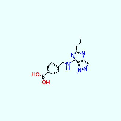 CCCc1nc(NCc2ccc(B(O)O)cc2)c2c(cnn2C)n1